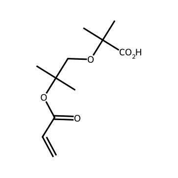 C=CC(=O)OC(C)(C)COC(C)(C)C(=O)O